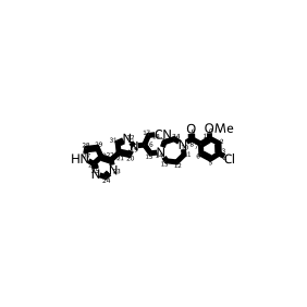 COc1cc(Cl)ccc1C(=O)N1CCCN(CC(CC#N)n2cc(-c3ncnc4[nH]ccc34)cn2)CC1